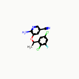 CC(Oc1cc(C#N)cnc1N)c1cc(Cl)cc(F)c1Cl